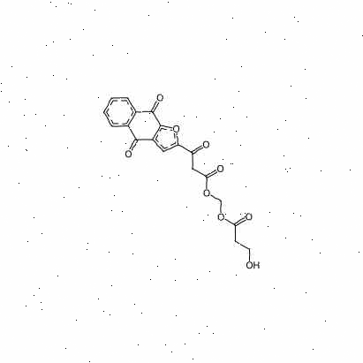 O=C(CCO)OCOC(=O)CC(=O)c1cc2c(o1)C(=O)c1ccccc1C2=O